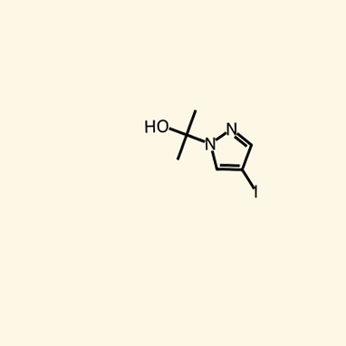 CC(C)(O)n1cc(I)cn1